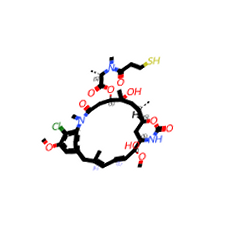 COc1cc2cc(c1Cl)N(C)C(=O)C[C@H](OC(=O)[C@H](C)N(C)C(=O)CCS)C(C)(O)C[C@H](C)[C@@H]1C[C@@](O)(NC(=O)O1)[C@H](OC)/C=C/C=C(\C)C2